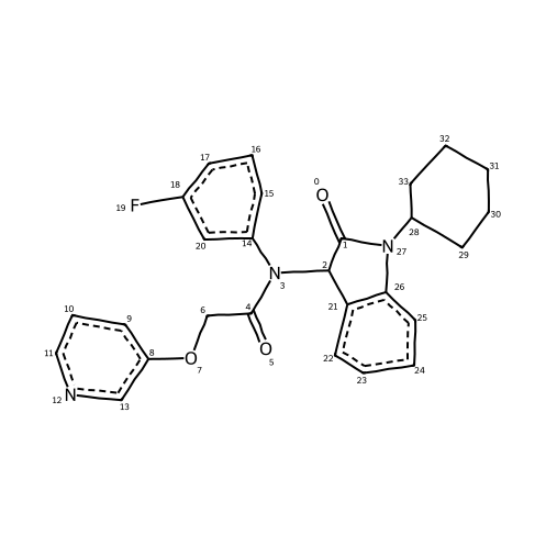 O=C1C(N(C(=O)COc2cccnc2)c2cccc(F)c2)c2ccccc2N1C1CCCCC1